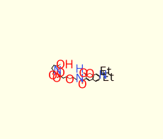 CCN(CC)c1ccc2cc(C(=O)NCCOCCC(=O)ON3C(=O)CCC3O)c(=O)oc2c1